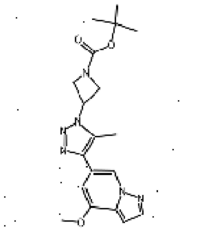 COc1cc(-c2nnn(C3CN(C(=O)OC(C)(C)C)C3)c2C)cn2nccc12